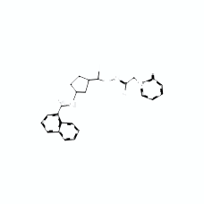 C[C@@H](NC1CCC(C(I)O/N=C(\N)Cn2ccccc2=O)C1)c1cccc2ccccc12